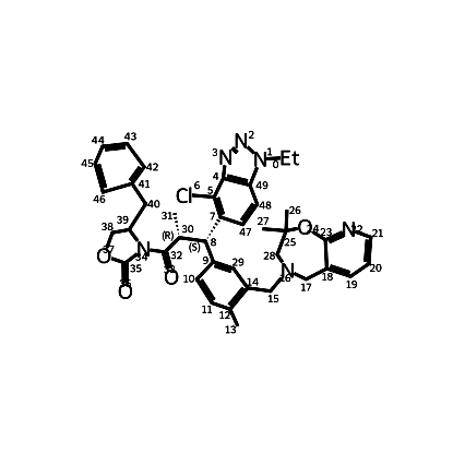 CCn1nnc2c(Cl)c([C@H](c3ccc(C)c(CN4Cc5cccnc5OC(C)(C)C4)c3)[C@@H](C)C(=O)N3C(=O)OCC3Cc3ccccc3)ccc21